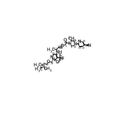 CC(/C=N/OCC(=O)N1CCN(c2ccc(C#N)cn2)CC1C)Nc1cnn(COCC[Si](C)(C)C)c(=O)c1C(F)(F)F